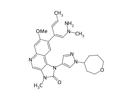 C/C=C/C(=C\N(C)N)c1cc2c(cc1OC)ncc1c2n(-c2cnn(C3CCCOCC3)c2)c(=O)n1C